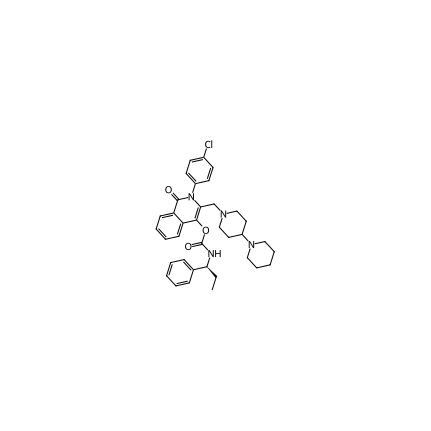 CC[C@H](NC(=O)Oc1c(CN2CCC(N3CCCCC3)CC2)n(-c2ccc(Cl)cc2)c(=O)c2ccccc12)c1ccccc1